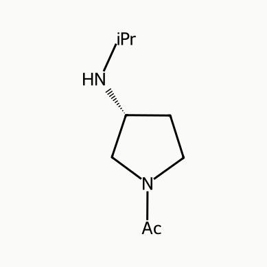 CC(=O)N1CC[C@@H](NC(C)C)C1